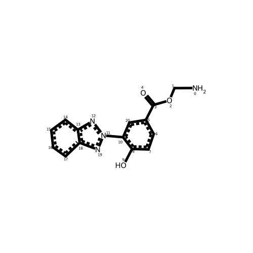 NCOC(=O)c1ccc(O)c(-n2nc3ccccc3n2)c1